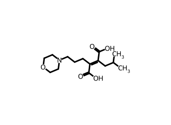 CC(C)CC(C(=O)O)=C(CCCN1CCOCC1)C(=O)O